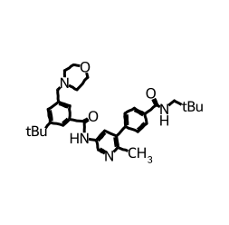 Cc1ncc(NC(=O)c2cc(CN3CCOCC3)cc(C(C)(C)C)c2)cc1-c1ccc(C(=O)NCC(C)(C)C)cc1